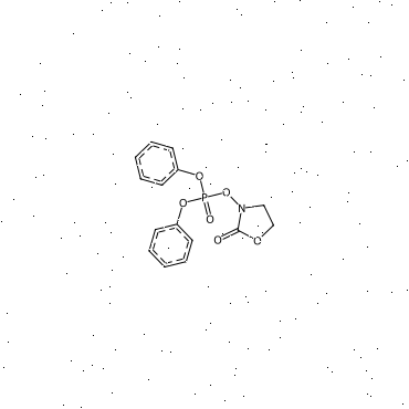 O=C1OCCN1OP(=O)(Oc1ccccc1)Oc1ccccc1